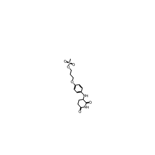 CS(=O)(=O)OCCCOc1ccc(NC2CCC(=O)NC2=O)cc1